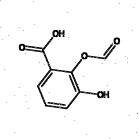 O=COc1c(O)cccc1C(=O)O